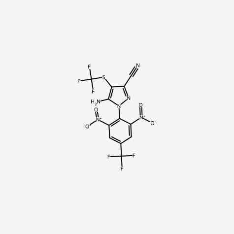 N#Cc1nn(-c2c([N+](=O)[O-])cc(C(F)(F)F)cc2[N+](=O)[O-])c(N)c1SC(F)(F)F